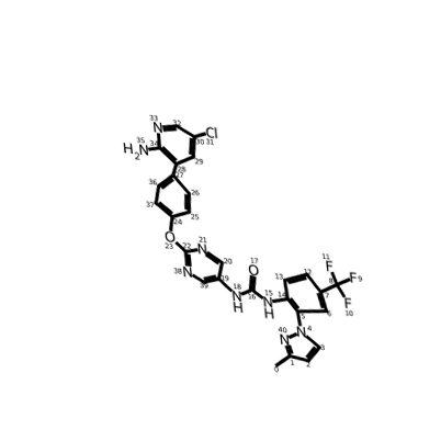 Cc1ccn(-c2cc(C(F)(F)F)ccc2NC(=O)Nc2cnc(Oc3ccc(-c4cc(Cl)cnc4N)cc3)nc2)n1